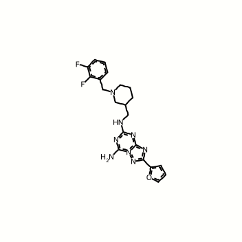 Nc1nc(NCC2CCCN(Cc3cccc(F)c3F)C2)nc2nc(-c3ccco3)nn12